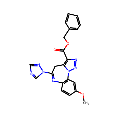 COc1ccc2c(c1)-n1nnc(C(=O)OCc3ccccc3)c1CC(n1cncn1)=N2